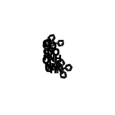 CO/N=C(/C(=O)NC1C(=O)N2C(C(=O)OC(c3ccccc3)c3ccccc3)=C(CCl)CS[C@H]12)c1csc(NC(c2ccccc2)(c2ccccc2)c2ccccc2)n1